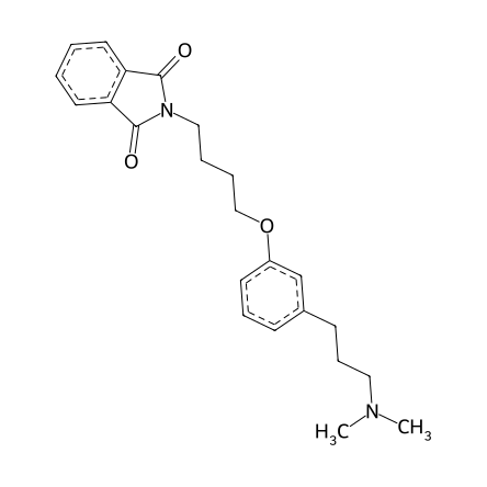 CN(C)CCCc1cccc(OCCCCN2C(=O)c3ccccc3C2=O)c1